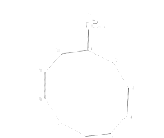 CCCCC1CCCCCCCCC1